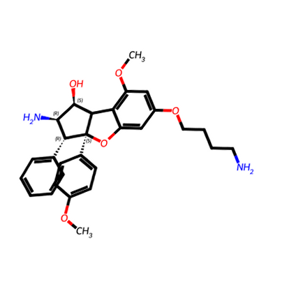 COc1ccc([C@@]23Oc4cc(OCCCCN)cc(OC)c4C2[C@H](O)[C@H](N)[C@H]3c2ccccc2)cc1